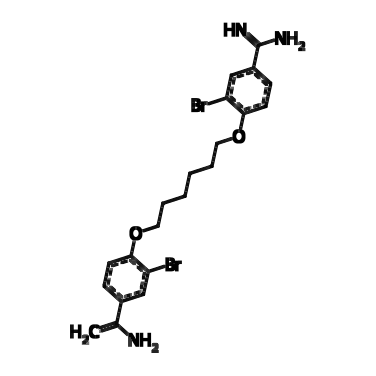 C=C(N)c1ccc(OCCCCCCOc2ccc(C(=N)N)cc2Br)c(Br)c1